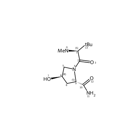 CN[C@H](C(=O)N1C[C@H](O)C[C@H]1C(N)=O)C(C)(C)C